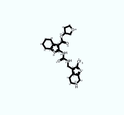 O=C(NCc1c(C(F)(F)F)sc2c1CCNC2)Nc1sc2c(c1C(=O)OC1CCOC1)CCCC2